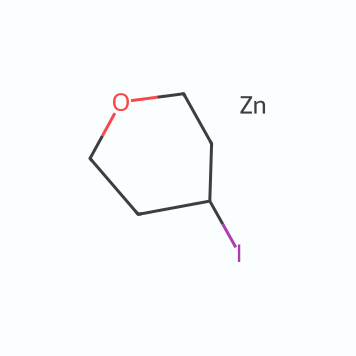 IC1CCOCC1.[Zn]